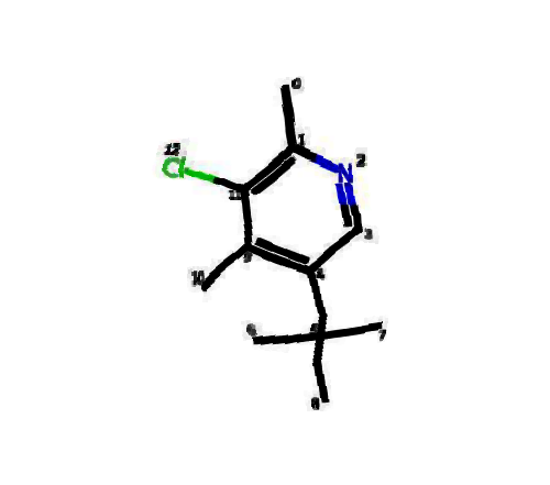 Cc1ncc(C(C)(C)C)c(C)c1Cl